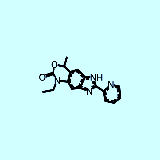 CCN1C(=O)OC(C)c2cc3[nH]c(-c4ccccn4)nc3cc21